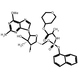 COc1nc(N)nc2c1ncn2C1O[C@H](COP(=O)(NC(C)C(=O)OC2CCOCC2)Oc2cccc3ccccc23)[C@@H](F)[C@@]1(C)O